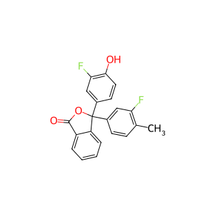 Cc1ccc(C2(c3ccc(O)c(F)c3)OC(=O)c3ccccc32)cc1F